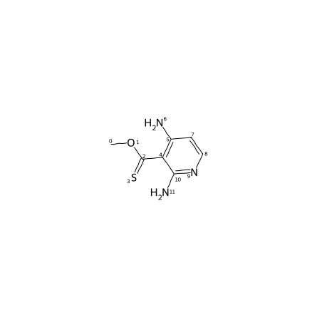 COC(=S)c1c(N)ccnc1N